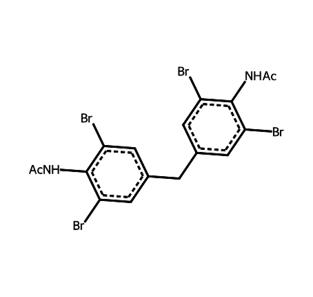 CC(=O)Nc1c(Br)cc(Cc2cc(Br)c(NC(C)=O)c(Br)c2)cc1Br